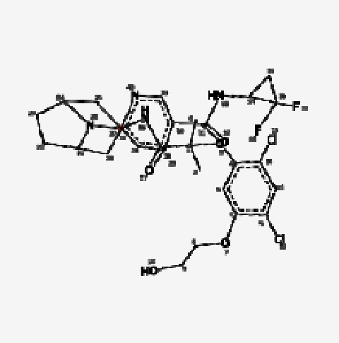 CC(C)(Oc1cc(OCCO)c(Cl)cc1Cl)C(=O)NC1CC2CCC(C1)N2c1ccc(C(=O)NC2CC2(F)F)cn1